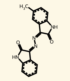 Cc1ccc2c(c1)/C(=N/N=C1\C(=O)Nc3ccccc31)C(=O)N2